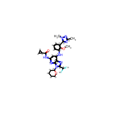 COc1c(Nc2cc(NC(=O)C3CC3)nc3c2nc(C(F)F)n3C2CCCCO2)cccc1-c1nc(C)nn1C